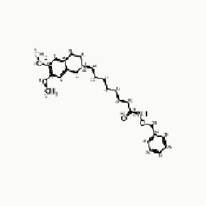 COc1cc2c(cc1OC)CN(CCCCCCCC(=O)NOCc1ccccc1)CC2